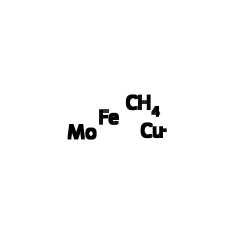 C.[Cu].[Fe].[Mo]